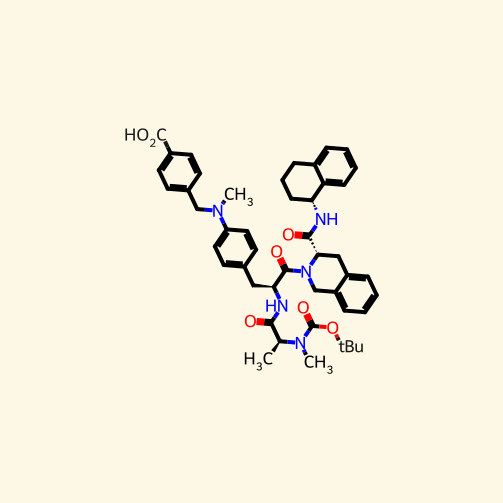 C[C@@H](C(=O)N[C@@H](Cc1ccc(N(C)Cc2ccc(C(=O)O)cc2)cc1)C(=O)N1Cc2ccccc2C[C@H]1C(=O)N[C@@H]1CCCc2ccccc21)N(C)C(=O)OC(C)(C)C